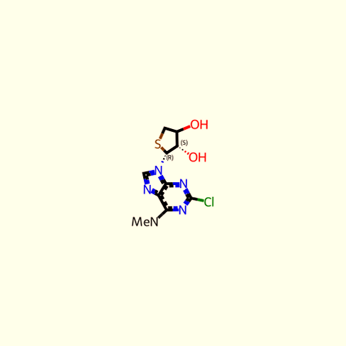 CNc1nc(Cl)nc2c1ncn2[C@@H]1SCC(O)[C@@H]1O